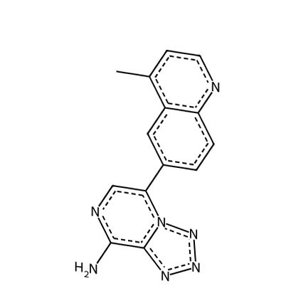 Cc1ccnc2ccc(-c3cnc(N)c4nnnn34)cc12